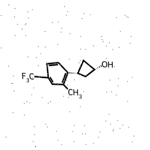 Cc1cc(C(F)(F)F)ccc1[C@H]1C[C@@H](O)C1